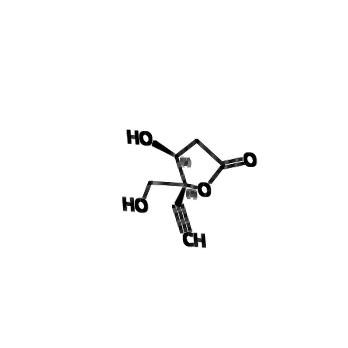 C#C[C@]1(CO)OC(=O)C[C@@H]1O